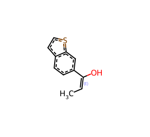 C/C=C(/O)c1ccc2ccsc2c1